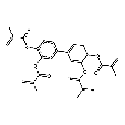 C=C(C)C(=O)OC1=CC(c2ccc(OC(=O)C(=C)C)c(OC(=O)C(=C)C)c2)=CCC1OC(=O)C(=C)C